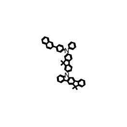 CC1(C)c2cc(N(c3ccccc3)c3ccc(-c4ccc5ccccc5c4)cc3)ccc2-c2ccc(-n3c4ccccc4c4cc5c(cc43)-c3ccccc3C5(C)C)cc21